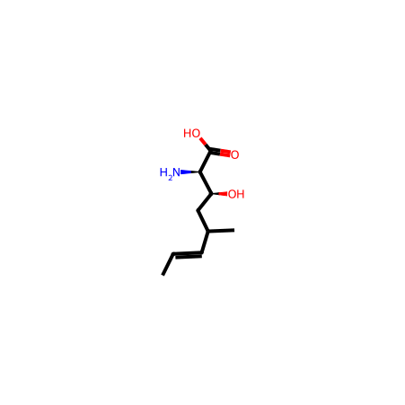 CC=CC(C)C[C@H](O)[C@@H](N)C(=O)O